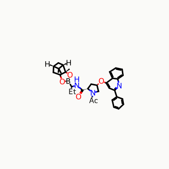 CC[C@H](NC(=O)[C@@H]1C[C@@H](Oc2cc(-c3ccccc3)nc3ccccc23)CN1C(C)=O)B1OC2C[C@@H]3C[C@@H](C3(C)C)[C@]2(C)O1